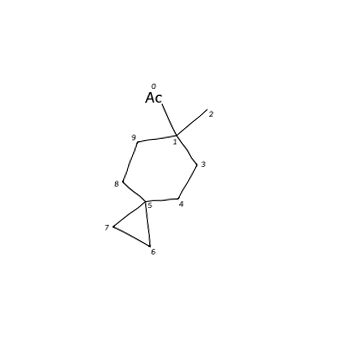 CC(=O)C1(C)CCC2(CC2)CC1